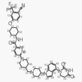 N#Cc1ccc(O[C@H]2CC[C@H](NC(=O)c3ccc(N4CCC(CN5CCC(n6ccc7c(N8CCC(=O)NC8=O)cccc76)CC5)CC4)nn3)CC2)cc1C(F)(F)F